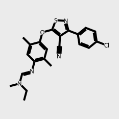 CCN(C)C=Nc1cc(C)c(Oc2snc(-c3ccc(Cl)cc3)c2C#N)cc1C